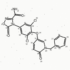 NC(=O)c1noc(=O)n1-c1cc(Cl)c(Oc2ccc(=O)n(Cc3ccccc3)c2)c(Cl)c1